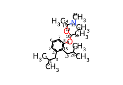 CC(C)Cc1cccc(OC(C)OC(C)N(C)C)c1CC(C)C